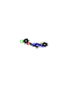 Clc1cccc(OCCNCC2CCN(c3nc4ccccc4s3)CC2)c1